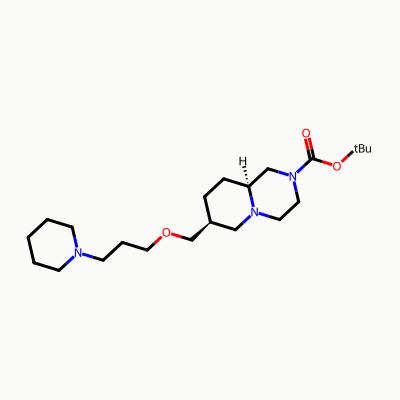 CC(C)(C)OC(=O)N1CCN2C[C@@H](COCCCN3CCCCC3)CC[C@H]2C1